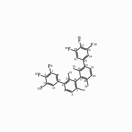 Cc1ccc(-c2cc(F)c(F)c(F)c2)c(C)c1-c1c(C)ccc(-c2cc(F)c(F)c(F)c2)c1C